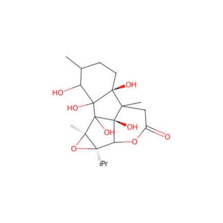 CC1CC[C@@]2(O)C(O)(C1O)C1(O)[C@@]3(O)C(OC(=O)CC23C)[C@@]2(C(C)C)O[C@@]12C